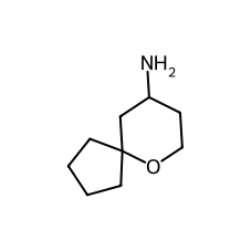 NC1CCOC2(CCCC2)C1